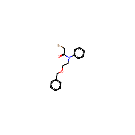 O=C(CBr)N(CCOCc1ccccc1)c1ccccc1